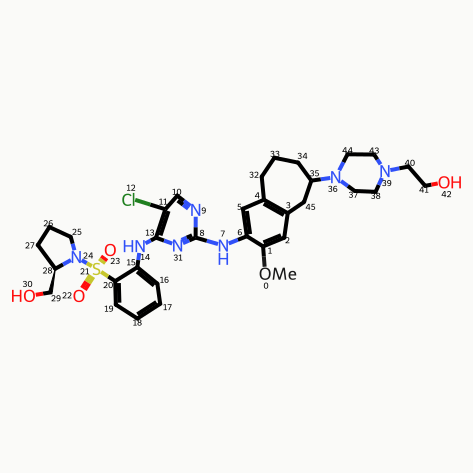 COc1cc2c(cc1Nc1ncc(Cl)c(Nc3ccccc3S(=O)(=O)N3CCC[C@@H]3CO)n1)CCCC(N1CCN(CCO)CC1)C2